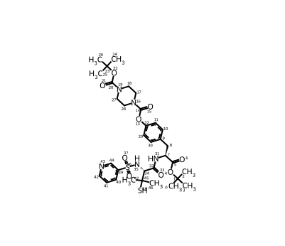 CC(C)(C)OC(=O)[C@H](Cc1ccc(OC(=O)N2CCN(C(=O)OC(C)(C)C)CC2)cc1)NC(=O)[C@@H](NS(=O)(=O)c1cccnc1)C(C)(C)S